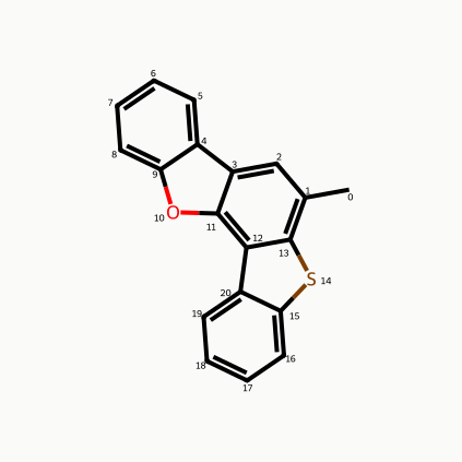 Cc1cc2c3ccccc3oc2c2c1sc1ccccc12